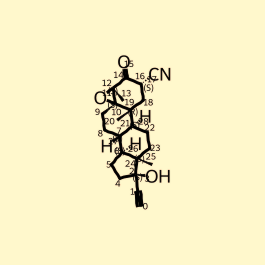 C#C[C@]1(O)CC[C@H]2[C@@H]3CC[C@@]45O[C@]4(C)C(=O)[C@H](C#N)C[C@]5(C)[C@H]3CC[C@@]21C